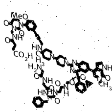 COc1ccc(C#CCNC2(C)CCN(C3CCN(c4nc([C@@](COCNC(=O)CNC(=O)[C@H](Cc5ccccc5)NC(=O)CNC(=O)CN)(OC5CC5)c5ccccc5)c5cc(-c6cn(C)c(=O)c7[nH]ccc67)ccc5n4)CC3)CC2)cc1N1CCC(=O)N(CNC(=O)CCC(=O)O)C1=O